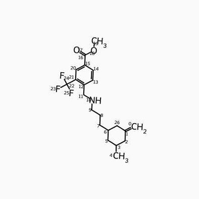 C=C1CC(C)CC(CCCNCc2ccc(C(=O)OC)cc2C(F)(F)F)C1